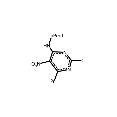 CCCCCNc1nc(Cl)nc(C(C)C)c1[N+](=O)[O-]